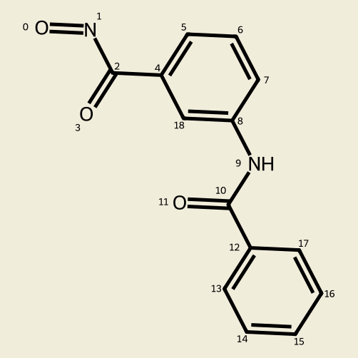 O=NC(=O)c1cccc(NC(=O)c2ccccc2)c1